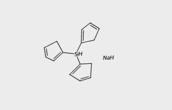 C1=CCC([SiH](C2=CC=CC2)C2=CC=CC2)=C1.[NaH]